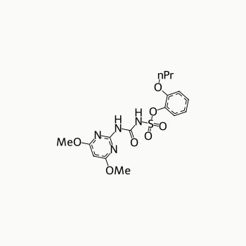 CCCOc1ccccc1OS(=O)(=O)NC(=O)Nc1nc(OC)cc(OC)n1